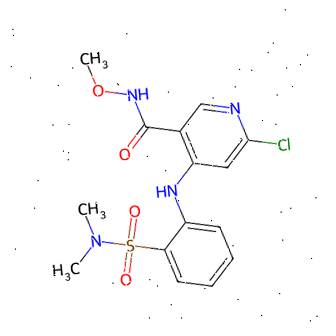 CONC(=O)c1cnc(Cl)cc1Nc1ccccc1S(=O)(=O)N(C)C